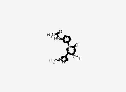 CC(=O)Nc1cccc(-n2cc(-c3cnn(C)c3)c(C)cc2=O)c1